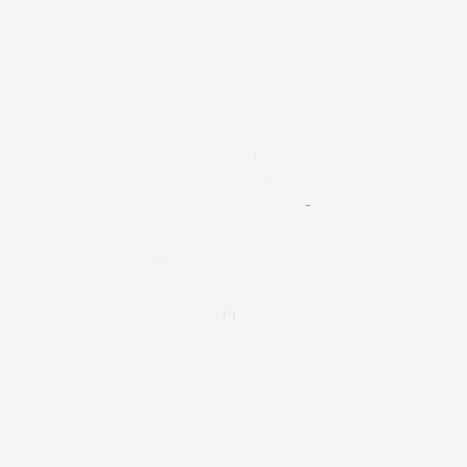 Brc1cc2c(cc1Br)C1CCC2CC1